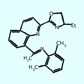 CCC1COC(c2ccc3cccc(C(C)=Nc4c(C)cccc4C)c3n2)=N1